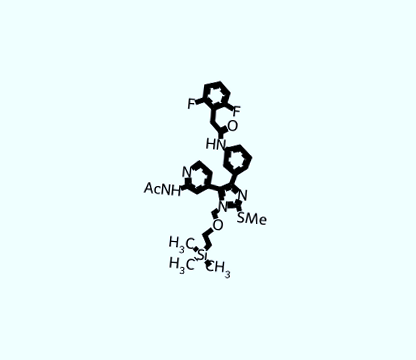 CSc1nc(-c2cccc(NC(=O)Cc3c(F)cccc3F)c2)c(-c2ccnc(NC(C)=O)c2)n1COCC[Si](C)(C)C